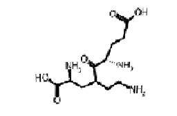 NCCC(C[C@H](N)C(=O)O)C(=O)[C@@H](N)CCC(=O)O